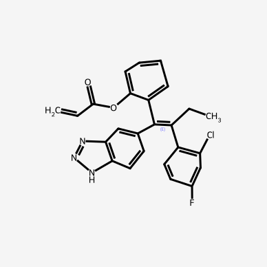 C=CC(=O)Oc1ccccc1/C(=C(\CC)c1ccc(F)cc1Cl)c1ccc2[nH]nnc2c1